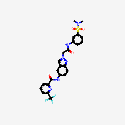 CN(C)S(=O)(=O)c1cccc(NC(=O)Cn2cc3cc(NC(=O)c4cccc(C(F)(F)F)n4)ccc3n2)c1